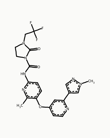 Cc1nc(NC(=O)N2CCN(CC(F)(F)F)C2=O)ccc1Oc1ccnc(-c2cnn(C)c2)c1